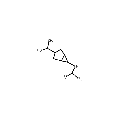 CC(C)NC1C2CC(C(C)C)CC21